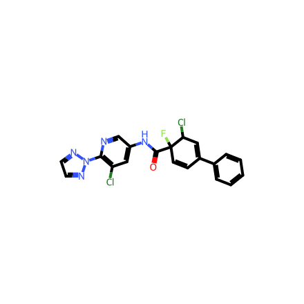 O=C(Nc1cnc(-n2nccn2)c(Cl)c1)C1(F)C=CC(c2ccccc2)=CC1Cl